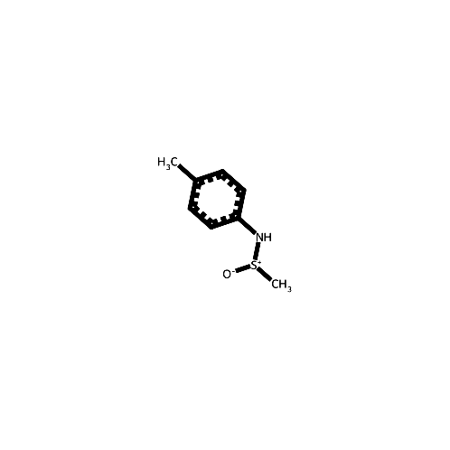 Cc1ccc(N[S+](C)[O-])cc1